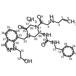 C=CCNCC(=O)N1[C@@H](NC(=O)NCc2ccccc2)CN(Cc2cccc3cnn(CCO)c23)C(=O)[C@@H]1C